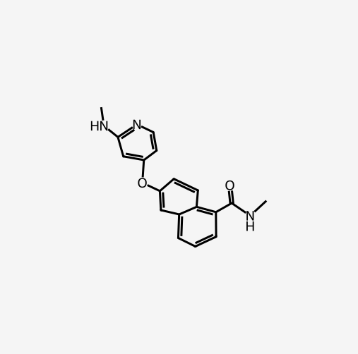 CNC(=O)c1cccc2cc(Oc3ccnc(NC)c3)ccc12